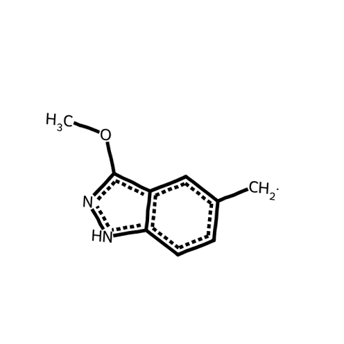 [CH2]c1ccc2[nH]nc(OC)c2c1